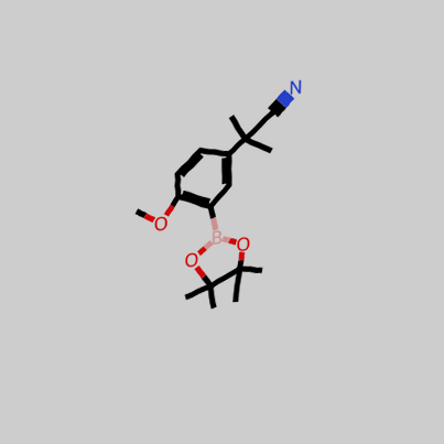 COc1ccc(C(C)(C)C#N)cc1B1OC(C)(C)C(C)(C)O1